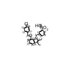 Cc1c(C)n(Cc2ccccc2)c2c(OCc3ccc(Cl)cc3)nccc12.O=[N+]([O-])O